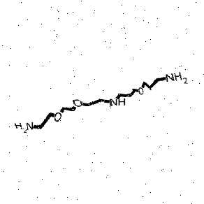 NCCCOCCCNCCOCCOCCN